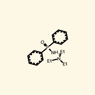 CCN(CC)CC.NP(=O)(c1ccccc1)c1ccccc1